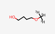 [2H]C([2H])([2H])OCCCCO